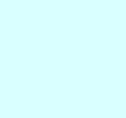 C#CCC[CH2]